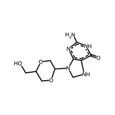 Nc1nc2c(c(=O)[nH]1)NCN2C1COC(CO)CO1